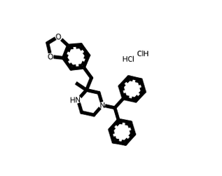 CC1(Cc2ccc3c(c2)OCO3)CN(C(c2ccccc2)c2ccccc2)CCN1.Cl.Cl